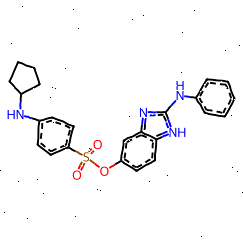 O=S(=O)(Oc1ccc2[nH]c(Nc3ccccc3)nc2c1)c1ccc(NC2CCCC2)cc1